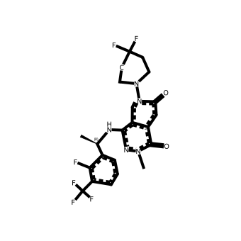 C[C@@H](Nc1nn(C)c(=O)c2cc(=O)n(N3CCC(F)(F)CC3)cc12)c1cccc(C(F)(F)F)c1F